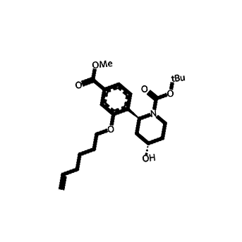 C=CCCCCOc1cc(C(=O)OC)ccc1[C@@H]1C[C@@H](O)CCN1C(=O)OC(C)(C)C